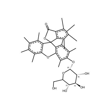 Cc1c(C)c(C)c2c(c1C)Oc1c(C)c(O[C@H]3OC(CO)[C@@H](O)[C@H](O)[C@H]3O)c(C)c(C)c1C21OC(=O)c2c(C)c(C)c(C)c(C)c21